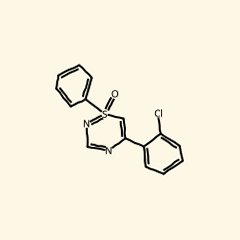 O=S1(c2ccccc2)=NC=NC(c2ccccc2Cl)=C1